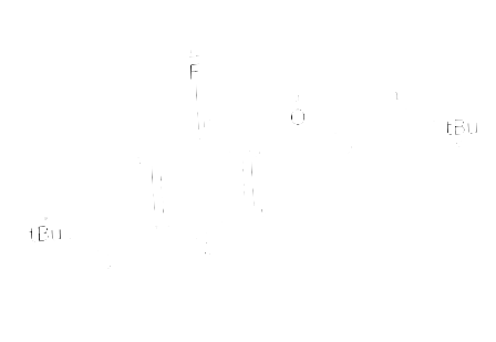 CC(C)(C)CCOc1ccc(CC(C)(C)C)cc1F